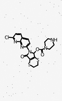 O=C(OC1C2=C(SCCS2)C(=O)N1c1ccc2ccc(Cl)nc2n1)N1CCNCC1